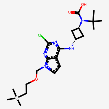 CC(C)(C)N(C(=O)O)[C@H]1C[C@H](Nc2nc(Cl)nc3c2ccn3COCC[Si](C)(C)C)C1